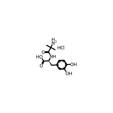 CC(C)(N)C(=O)N[C@@H](Cc1ccc(O)c(O)c1)C(=O)O.Cl